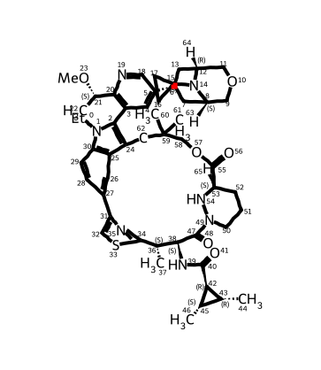 CCn1c(-c2cc([C@H]3C[C@H]4COC[C@@H](C3)N4C3CC3)cnc2[C@H](C)OC)c2c3cc(ccc31)-c1csc(n1)[C@@H](C)[C@H](NC(=O)[C@H]1[C@H](C)[C@@H]1C)C(=O)N1CCC[C@H](N1)C(=O)OCC(C)(C)C2